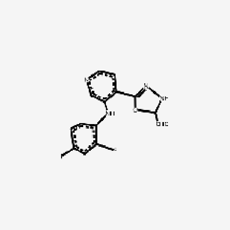 O=CC1NN=C(c2ccncc2Nc2ccc(I)cc2F)O1